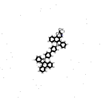 C=C/C=C\c1c(C)c2ccccc2c2c1c1ccccc1n2-c1ccc(-c2ccc(-n3c4ccccc4c4c5ccccc5c5ccccc5c43)cc2)cc1